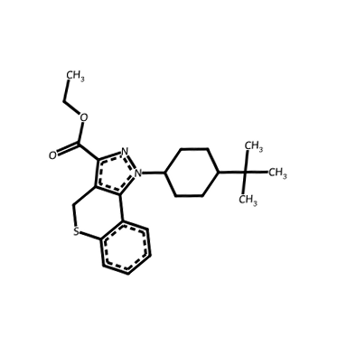 CCOC(=O)c1nn(C2CCC(C(C)(C)C)CC2)c2c1CSc1ccccc1-2